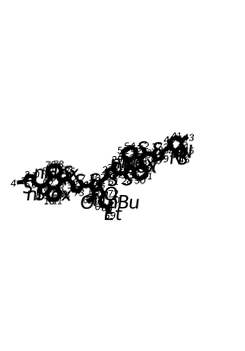 CCCCCCc1cc(C)sc1-c1sc2cccc3c4c(-c5sc(-c6sc(-c7cc(CCCCCC)c(-c8sc9cccc%10c%11c(-c%12sc(-c%13ccc(C)c%14nsnc%13%14)cc%12CCCCCC)sc%12cccc(c8c9%10)c%12%11)s7)c7c6C(=O)N(CC(CC)CCCC)C7=O)cc5CCCCCC)sc5cccc(c1c23)c54